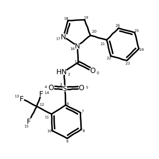 O=C(NS(=O)(=O)c1ccccc1C(F)(F)F)N1N=CCC1c1ccccc1